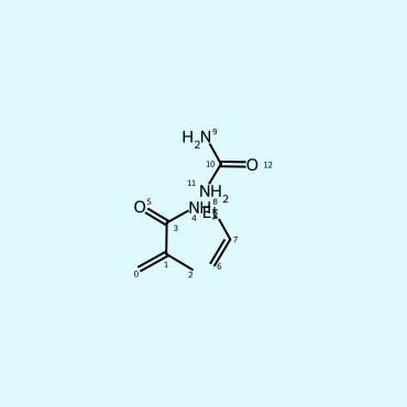 C=C(C)C(N)=O.C=CCC.NC(N)=O